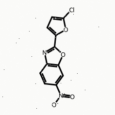 O=[N+]([O-])c1ccc2nc(-c3ccc(Cl)o3)oc2c1